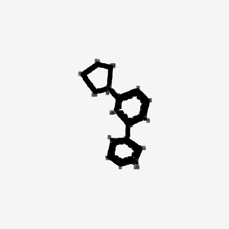 c1cnc(-c2nccc(N3CCCC3)n2)cn1